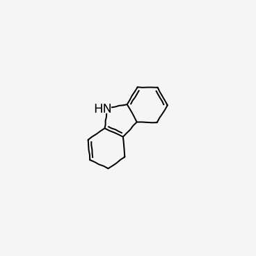 C1=CCC2C(=C1)NC1=C2CCC=C1